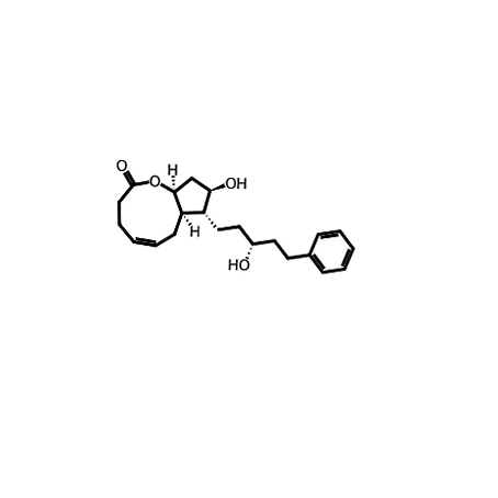 O=C1CC/C=C\C[C@@H]2[C@@H](CC[C@@H](O)CCc3ccccc3)[C@H](O)C[C@@H]2O1